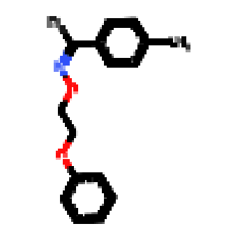 CCC(=NOCCOc1c[c]ccc1)c1ccc(C)cc1